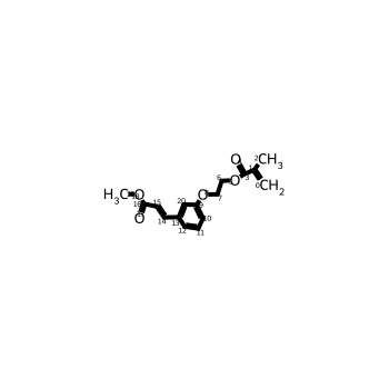 C=C(C)C(=O)OCCOc1cccc(C=CC(=O)OC)c1